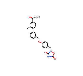 COC(=O)c1ccc(-c2cccc(COc3ccc(Cn4oc(=O)[nH]c4=O)cc3)c2)c(C)c1